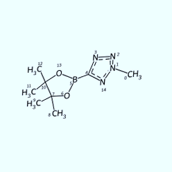 Cn1nnc(B2OC(C)(C)C(C)(C)O2)n1